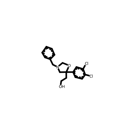 OCCC1(c2ccc(Cl)c(Cl)c2)CN(Cc2ccccc2)CO1